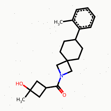 Cc1ccccc1C1CCC2(CC1)CN(C(=O)C1CC(C)(O)C1)C2